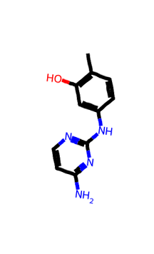 Cc1ccc(Nc2nccc(N)n2)cc1O